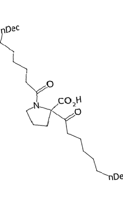 CCCCCCCCCCCCCCCC(=O)N1CCCC1(C(=O)O)C(=O)CCCCCCCCCCCCCCC